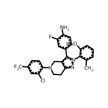 Cc1cccc(OCC(C)C)c1-n1nc2c(c1-c1ccc(N)c(F)c1)CN(c1ccc(C(F)(F)F)cc1Cl)CC2